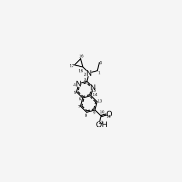 CCN(c1ncc2ccc(C(=O)O)cc2n1)C1CC1